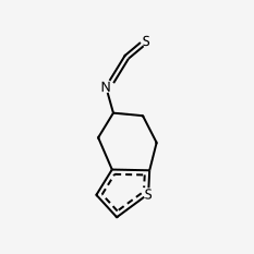 S=C=NC1CCc2sccc2C1